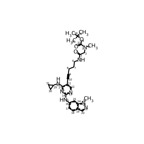 CN(CC(=O)NCCCC#Cc1cnc(Nc2ccc3cnn(C)c3c2)nc1NC1CC1)C(=O)OC(C)(C)C